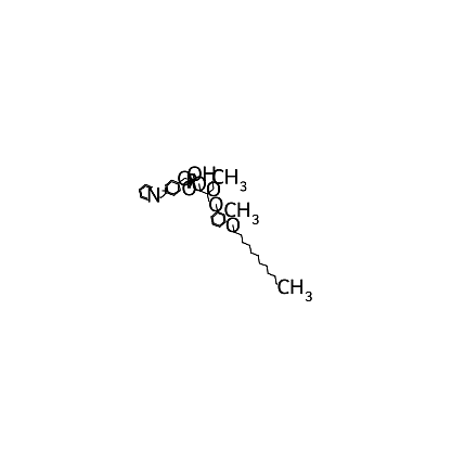 CCCCCCCCCCCCOc1cccc(OCC(COP(=O)(O)Oc2ccc(C[n+]3ccccc3)cc2)OCC)c1C